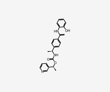 C=C(Nc1ccccc1O)c1ccc([C@H](C)NC(=O)O[C@@H](C)c2cccnc2)cc1